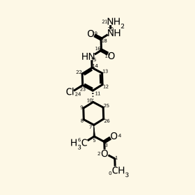 CCOC(=O)C(C)[C@H]1CC[C@H](c2ccc(NC(=O)C(=O)NN)cc2Cl)CC1